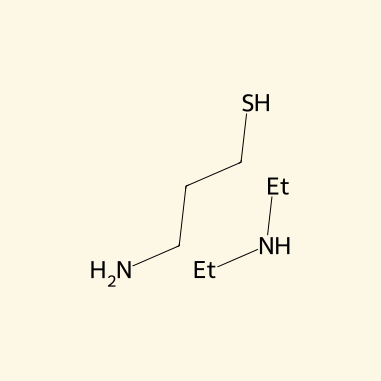 CCNCC.NCCCS